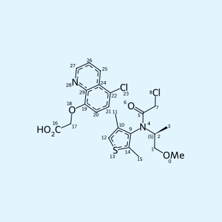 COC[C@H](C)N(C(=O)CCl)c1c(C)csc1C.O=C(O)COc1ccc(Cl)c2cccnc12